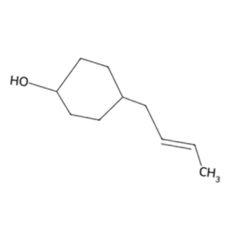 CC=CCC1CCC(O)CC1